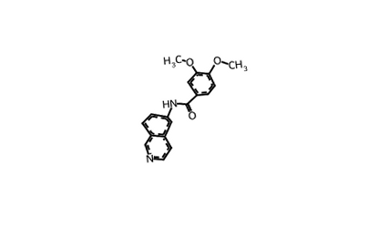 COc1ccc(C(=O)Nc2ccc3cnccc3c2)cc1OC